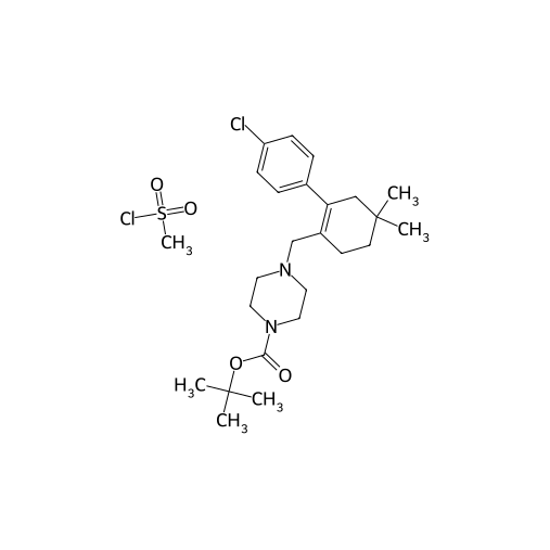 CC1(C)CCC(CN2CCN(C(=O)OC(C)(C)C)CC2)=C(c2ccc(Cl)cc2)C1.CS(=O)(=O)Cl